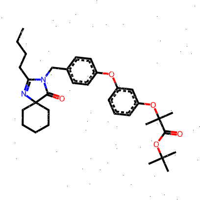 CCCCC1=NC2(CCCCC2)C(=O)N1Cc1ccc(Oc2cccc(OC(C)(C)C(=O)OC(C)(C)C)c2)cc1